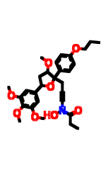 CCCOc1ccc(C2(CC#CN(O)C(=O)CC)OC(c3cc(OC)c(OC)c(OC)c3)CC2OC)cc1